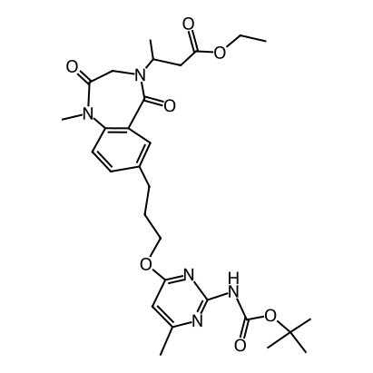 CCOC(=O)CC(C)N1CC(=O)N(C)c2ccc(CCCOc3cc(C)nc(NC(=O)OC(C)(C)C)n3)cc2C1=O